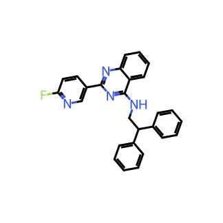 Fc1ccc(-c2nc(NCC(c3ccccc3)c3ccccc3)c3ccccc3n2)cn1